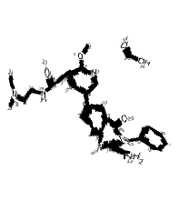 COc1ncc(-c2ccc3nc(N)n(-c4ccccc4)c(=O)c3c2)cc1C(=O)NCCN(C)C.O=CO